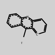 Cc1c2c(nc3ccccc13)=CC=C[C+]=2.[I-]